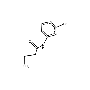 CCCC(=O)Nc1cccc(Br)c1